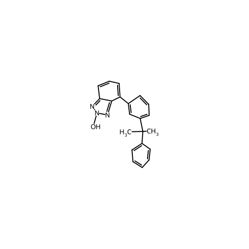 CC(C)(c1ccccc1)c1cccc(-c2cccc3nn(O)nc23)c1